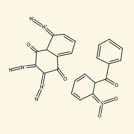 O=C(c1ccccc1)C1C=CC=CC1=S(=O)=O.[N-]=[N+]=C1C(=O)C2=CC=CC(=[N+]=[N-])C2C(=O)C1=[N+]=[N-]